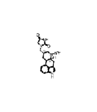 CCCN1C[C@H](CN2CC(=O)NC2=O)CC2c3cccc4[nH]cc(c34)C[C@H]21